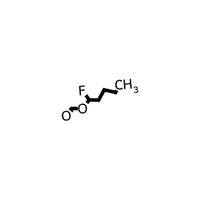 CCCCC(F)OC=O